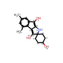 Cc1cc(C)c2c(c1)C(O)=C1NC3(CCC(O)CC3)C(O)=C12